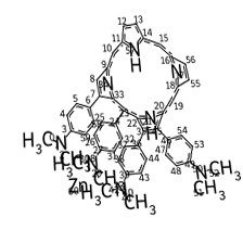 CN(C)c1ccc(C2=Cc3cc4ccc(cc5nc(cc6[nH]c(c(-c7ccc(N(C)C)cc7)c2n3)c(-c2ccc(N(C)C)cc2)c6-c2ccc(N(C)C)cc2)C=C5)[nH]4)cc1.[Zn]